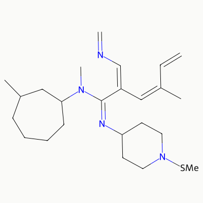 C=C\C(C)=C/C(=C/N=C)C(=N\C1CCN(SC)CC1)/N(C)C1CCCCC(C)C1